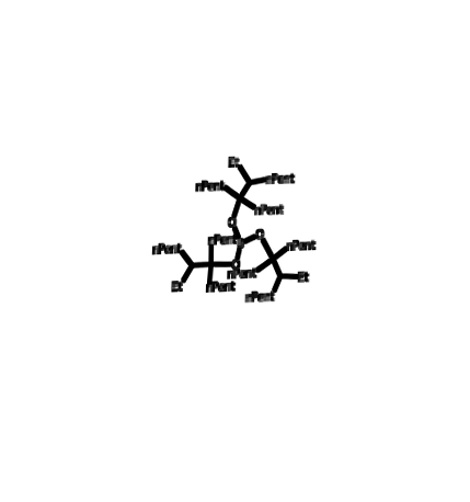 CCCCCC(CC)C(CCCCC)(CCCCC)OB(OC(CCCCC)(CCCCC)C(CC)CCCCC)OC(CCCCC)(CCCCC)C(CC)CCCCC